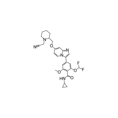 COc1cc(-c2cnc3cc(OCC4CCCCN4CC#N)ccn23)cc(OC(F)F)c1C(=O)NC1CC1